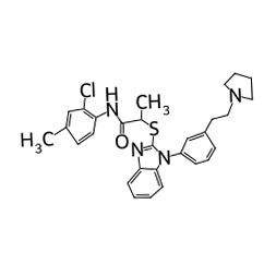 Cc1ccc(NC(=O)C(C)Sc2nc3ccccc3n2-c2cccc(CCN3CCCC3)c2)c(Cl)c1